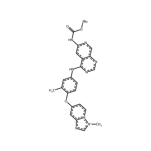 Cc1cc(Nc2ncnc3cnc(NC(=O)OC(C)(C)C)cc23)ccc1Oc1ccn2c(c1)nc[n+]2C